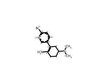 CN(C)C1CCC(N)=C(c2ccc(Br)nc2)C1